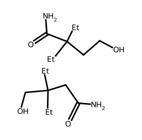 CCC(CC)(CCO)C(N)=O.CCC(CC)(CO)CC(N)=O